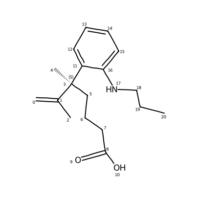 C=C(C)[C@](C)(CCCC(=O)O)c1ccccc1NCCC